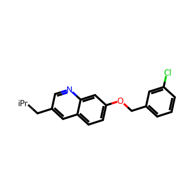 CC(C)Cc1cnc2cc(OCc3cccc(Cl)c3)ccc2c1